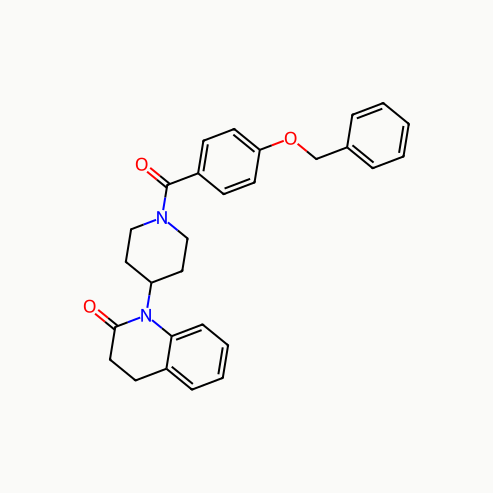 O=C(c1ccc(OCc2ccccc2)cc1)N1CCC(N2C(=O)CCc3ccccc32)CC1